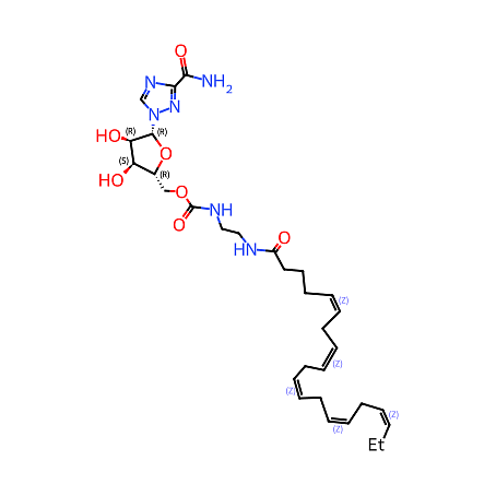 CC/C=C\C/C=C\C/C=C\C/C=C\C/C=C\CCCC(=O)NCCNC(=O)OC[C@H]1O[C@@H](n2cnc(C(N)=O)n2)[C@H](O)[C@@H]1O